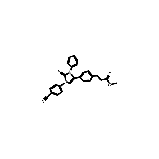 COC(=O)CCc1ccc(-c2cn(-c3ccc(C#N)cc3)c(=S)n2-c2ccccc2)cc1